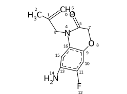 C=C(C)CN1C(=O)COc2cc(F)c(N)cc21